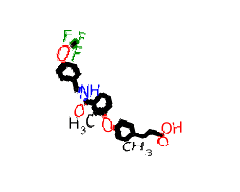 Cc1cc(Oc2cccc(C(=O)NCc3ccc(OC(F)(F)F)cc3)c2C)ccc1CCC(=O)O